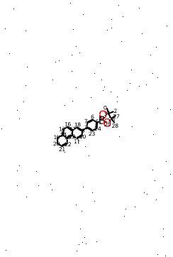 CC1(C)OB(c2ccc(-c3ccc4c5c(ccc4c3)CCC=C5)cc2)OC1(C)C